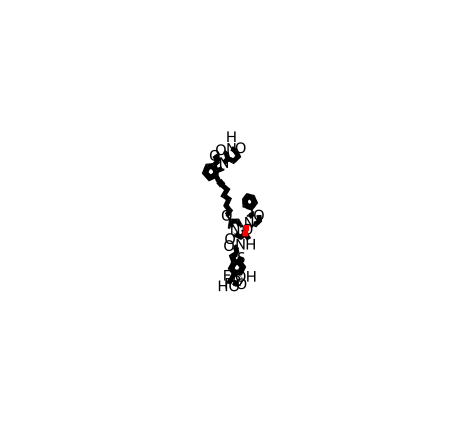 CC(C)(C)[C@H](NC(=O)c1cc2cc(C(F)(F)P(=O)(O)O)ccc2s1)C(=O)N1C[C@@H](OCCCCCC#Cc2cccc3c2CN(C2CCC(=O)NC2=O)C3=O)C[C@H]1C(=O)N1CCO[C@H](c2ccccc2)C1